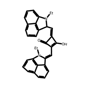 CCN1c2cccc3cccc(c23)C1C=C1C(=O)C(C=c2c3cccc4cccc(c43)n2CC)=C1O